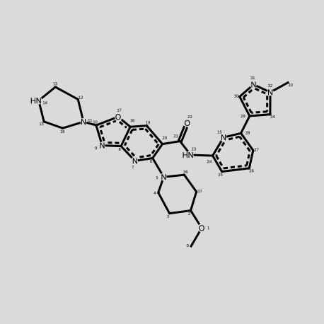 COC1CCN(c2nc3nc(N4CCNCC4)oc3cc2C(=O)Nc2cccc(-c3cnn(C)c3)n2)CC1